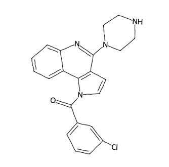 O=C(c1cccc(Cl)c1)n1ccc2c(N3CCNCC3)nc3ccccc3c21